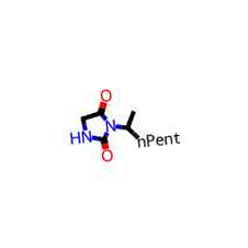 CCCCCC(C)N1C(=O)CNC1=O